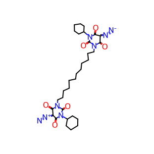 [N-]=[N+]=C1C(=O)N(CCCCCCCCCCCCN2C(=O)C(=[N+]=[N-])C(=O)N(C3CCCCC3)C2=O)C(=O)N(C2CCCCC2)C1=O